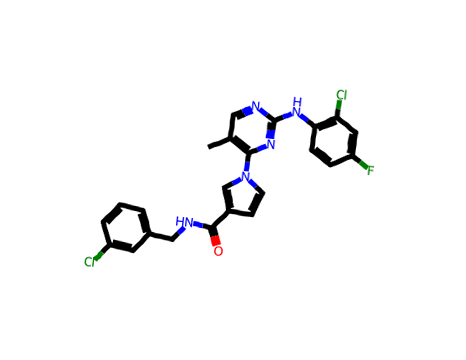 Cc1cnc(Nc2ccc(F)cc2Cl)nc1-n1ccc(C(=O)NCc2cccc(Cl)c2)c1